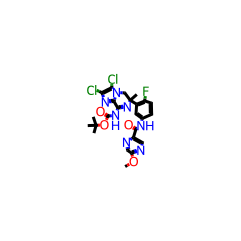 COc1cnc(C(=O)Nc2ccc(F)c(C3(C)Cn4c(nc(Cl)c4Cl)C(NC(=O)OC(C)(C)C)=N3)c2)cn1